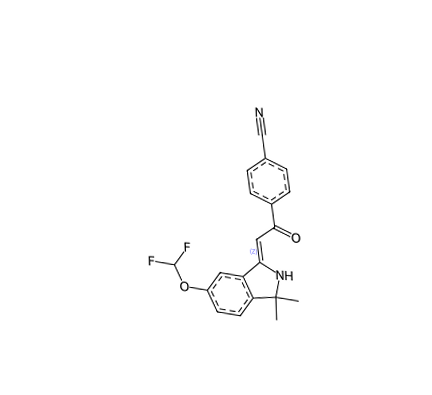 CC1(C)N/C(=C\C(=O)c2ccc(C#N)cc2)c2cc(OC(F)F)ccc21